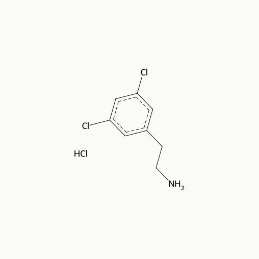 Cl.NCCc1cc(Cl)cc(Cl)c1